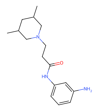 CC1CC(C)CN(CCC(=O)Nc2cccc(N)c2)C1